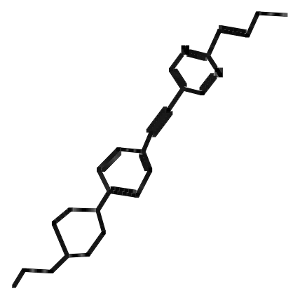 CCC=Cc1ncc(C#Cc2ccc(C3CCC(CCC)CC3)cc2)cn1